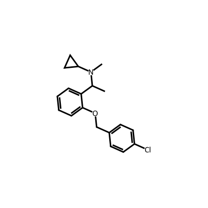 CC(c1ccccc1OCc1ccc(Cl)cc1)N(C)C1CC1